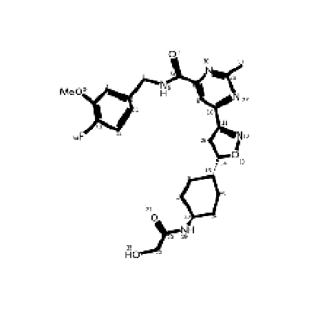 COc1cc(CNC(=O)c2cc(C3=NOC([C@H]4CC[C@H](NC(=O)CO)CC4)C3)nc(C)n2)ccc1F